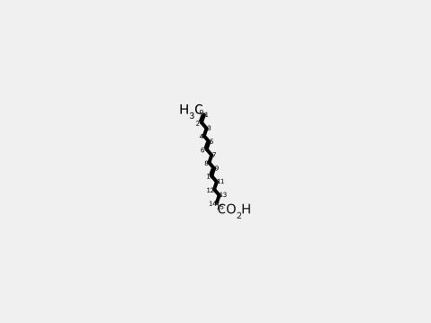 CC=CCCC=CCCC=CCCCCC(=O)O